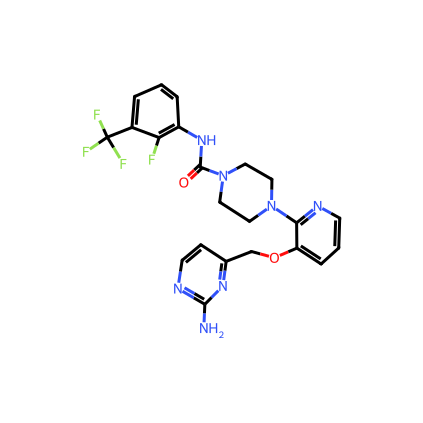 Nc1nccc(COc2cccnc2N2CCN(C(=O)Nc3cccc(C(F)(F)F)c3F)CC2)n1